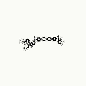 C=CCn1c(=O)c2cnc(Nc3ccc(N4CCN(C5CCN(c6ccc(NC7CCC(=O)NC7=O)cc6)CC5)CC4)cc3)nc2n1-c1cccc(C(C)(C)O)n1